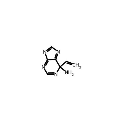 C=CC1(N)N=CN=C2N=CN=C21